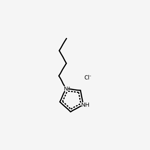 CCCC[n+]1cc[nH]c1.[Cl-]